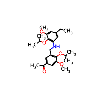 CCc1cc(NCc2cc(C(C)=O)cc(OC)c2OC(C)C)c(OC(C)C)c(OC)c1